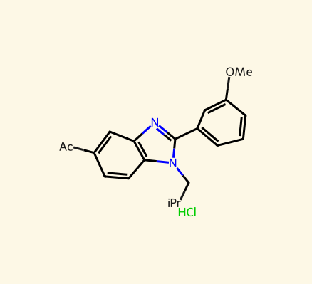 COc1cccc(-c2nc3cc(C(C)=O)ccc3n2CC(C)C)c1.Cl